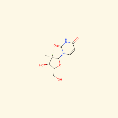 C[C@@]1(F)[C@H](O)[C@@H](CO)O[C@@H]1n1ccc(=O)[nH]c1=O